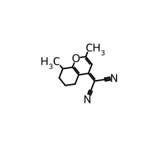 CC1=CC(=C(C#N)C#N)C2=C(O1)C(C)CCC2